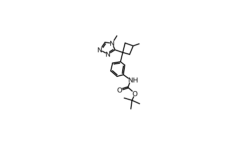 CC1CC(c2cccc(NC(=O)OC(C)(C)C)c2)(c2nncn2C)C1